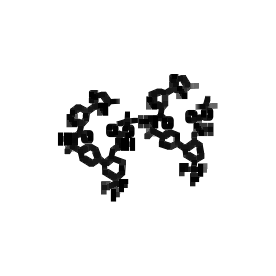 Cc1csc(-c2ccnc(C(=O)N[C@H](C)c3ccc(-c4cc(C(F)(F)F)ccc4CNC(=O)OC(C)(C)C)cc3)c2)n1.Cc1csc(-c2ccnc(C(=O)N[C@H](C)c3ccc(-c4cc(C(F)(F)F)ccc4CNC(=O)OC(C)(C)C)cc3)c2)n1